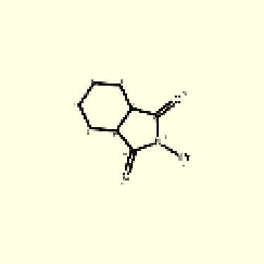 CC(C)N1C(=O)C2CCCCC2C1=O